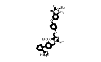 CCCc1nc(CSc2ccc(Oc3ccc(N)c(N(C)C(=O)OC(C)(C)C)c3)cc2)c(C(=O)OCC)n1Cc1ccc(-c2ccccc2-c2nnn[nH]2)cc1